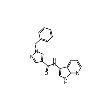 O=C(Nc1c[nH]c2ncccc12)c1cnn(Cc2ccccc2)c1